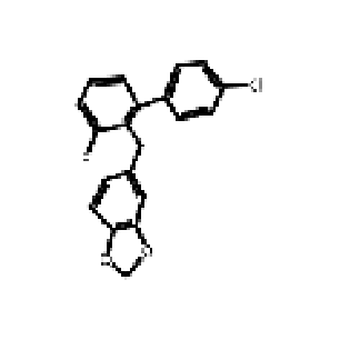 Fc1cc[c]c(-c2ccc(Cl)cc2)c1Cc1ccc2c(c1)OCO2